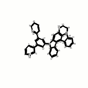 C1=CC(c2cc(-c3cccnc3)cc(-n3c4ccccc4c4c5c6ccccc6n6c5c(cc43)SCC6)c2)=NCC1